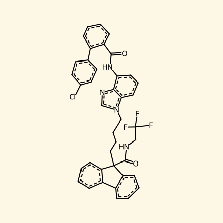 O=C(Nc1cccc2c1ncn2CCCCC1(C(=O)NCC(F)(F)F)c2ccccc2-c2ccccc21)c1ccccc1-c1ccc(Cl)cc1